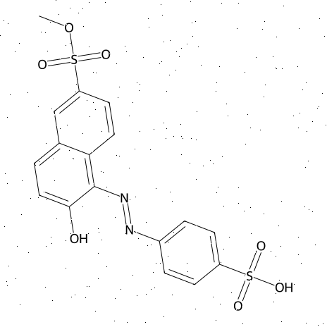 COS(=O)(=O)c1ccc2c(/N=N/c3ccc(S(=O)(=O)O)cc3)c(O)ccc2c1